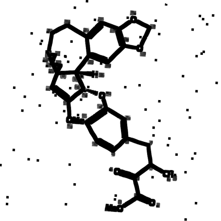 COC(=O)C(=O)C(C)Cc1cccc(O[C@@H]2C(OC)=C[C@]34CCCN3CCc3cc5c(cc3[C@H]24)OCO5)c1